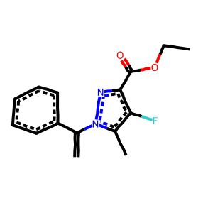 C=C(c1ccccc1)n1nc(C(=O)OCC)c(F)c1C